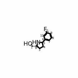 OC[C@H]1CCC(c2cccc(F)c2)N1